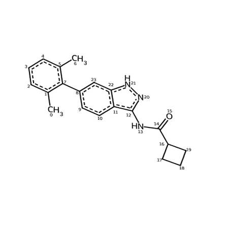 Cc1cccc(C)c1-c1ccc2c(NC(=O)C3CCC3)n[nH]c2c1